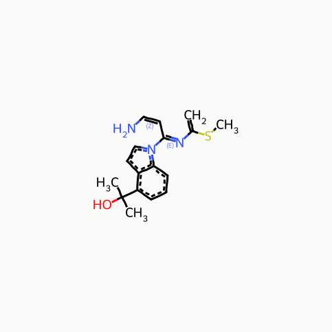 C=C(/N=C(\C=C/N)n1ccc2c(C(C)(C)O)cccc21)SC